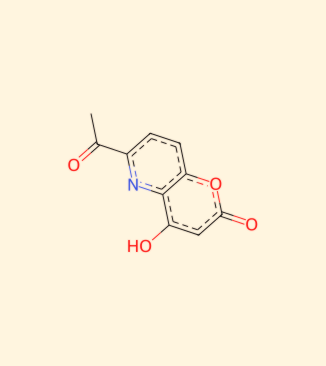 CC(=O)c1ccc2oc(=O)cc(O)c2n1